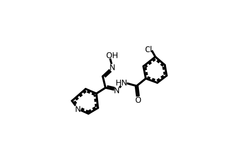 O=C(N/N=C(\C=N\O)c1ccncc1)c1cccc(Cl)c1